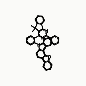 CC1(C)c2ccccc2-c2nc(-c3ccccc3)nc(-c3ccccc3-n3c4ccccc4c4c5oc6ccccc6c5ccc43)c21